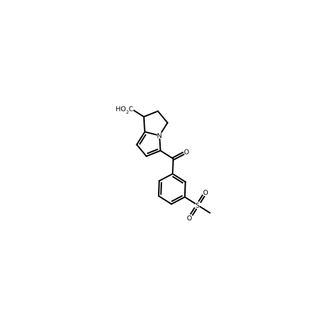 CS(=O)(=O)c1cccc(C(=O)c2ccc3n2CCC3C(=O)O)c1